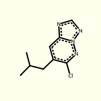 CC(C)Cc1cc2ncnn2nc1Cl